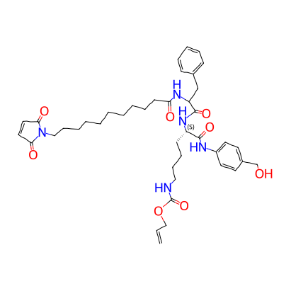 C=CCOC(=O)NCCCC[C@H](NC(=O)C(Cc1ccccc1)NC(=O)CCCCCCCCCCN1C(=O)C=CC1=O)C(=O)Nc1ccc(CO)cc1